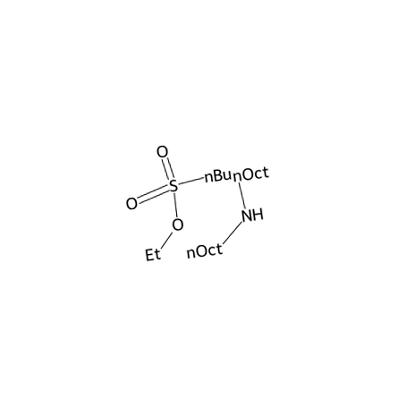 CCCCCCCCNCCCCCCCC.CCCCS(=O)(=O)OCC